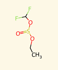 CCOS(=O)OC(F)F